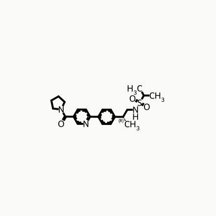 CC(C)S(=O)(=O)NC[C@H](C)c1ccc(-c2ccc(C(=O)N3CCCC3)cn2)cc1